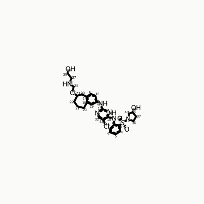 O=S(=O)(c1ccccc1Nc1nc(Nc2ccc3c(c2)CCCC(OCNCCO)C3)ncc1Cl)N1CC[C@@H](O)C1